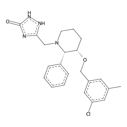 Cc1cc(Cl)cc(CO[C@H]2CCCN(Cc3nc(=O)[nH][nH]3)[C@H]2c2ccccc2)c1